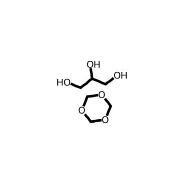 C1OCOCO1.OCC(O)CO